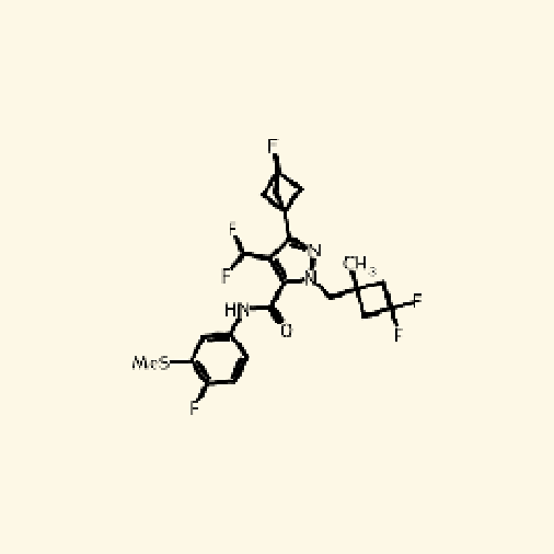 CSc1cc(NC(=O)c2c(C(F)F)c(C34CC(F)(C3)C4)nn2CC2(C)CC(F)(F)C2)ccc1F